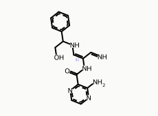 N=C/C(=C\NC(CO)c1ccccc1)NC(=O)c1nccnc1N